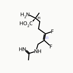 CC(=N)NC/C(F)=C(/F)CC[C@@](C)(N)C(=O)O